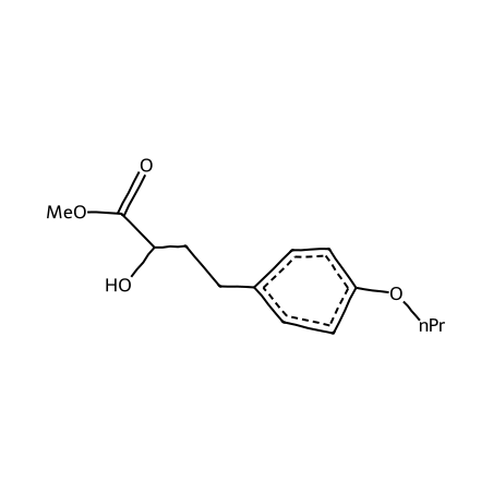 CCCOc1ccc(CCC(O)C(=O)OC)cc1